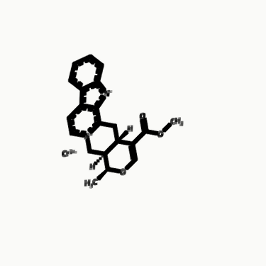 COC(=O)C1=CO[C@@H](C)[C@H]2C[n+]3ccc4c([n-]c5ccccc54)c3C[C@H]12.[Cr+3]